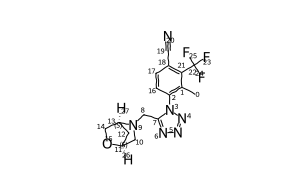 Cc1c(-n2nnnc2CN2C[C@@H]3C[C@H]2CO3)ccc(C#N)c1C(F)(F)F